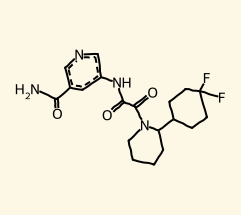 NC(=O)c1cncc(NC(=O)C(=O)N2CCCCC2C2CCC(F)(F)CC2)c1